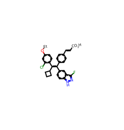 CCOc1ccc(/C(=C(\c2ccc(/C=C/C(=O)O)cc2)c2ccc3[nH]nc(F)c3c2)C2CCC2)c(Cl)c1